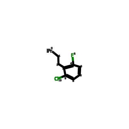 CC(C)CCc1c(F)cccc1Cl